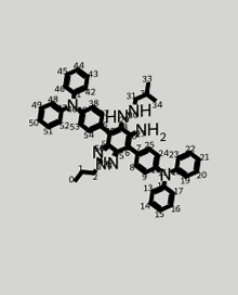 CCCn1nc2c(-c3ccc(N(c4ccccc4)c4ccccc4)cc3)c(N)c(NNCC(C)C)c(-c3ccc(N(c4ccccc4)c4ccccc4)cc3)c2n1